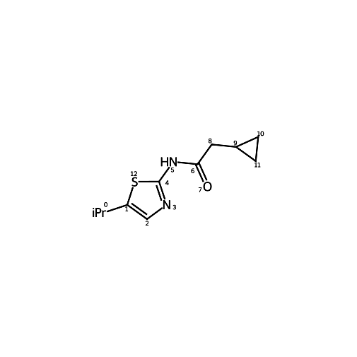 CC(C)c1cnc(NC(=O)CC2CC2)s1